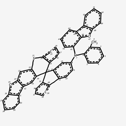 Cc1ccccc1N(c1ccc2c(c1)C1(c3ccccc3Sc3cc4oc5ccccc5c4cc31)c1ccccc1-2)c1cccc2c1oc1ccccc12